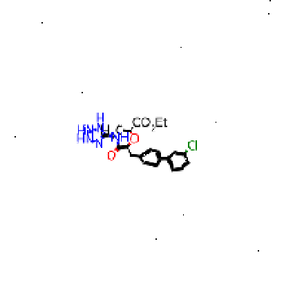 CCOC(=O)[C@H](C)O[C@@H](Cc1ccc(-c2cccc(Cl)c2)cc1)C(=O)NC1=NNNN1